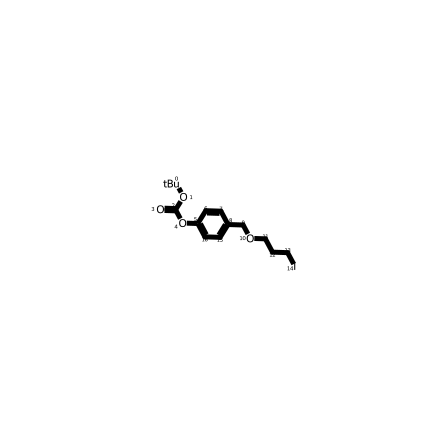 CC(C)(C)OC(=O)Oc1ccc(COCCCI)cc1